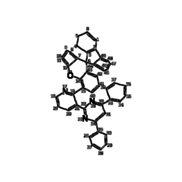 C1=CC2=C(CC1)C1(c3ccccc3Oc3c(-c4ncccc4-c4nc(-c5ccccc5)cc(-c5ccccc5)n4)cccc31)c1ccccc12